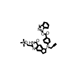 C#CCN(c1ccc(C(=O)On2nnc3ccccc32)cc1)[C@H]1CCc2cc3nc(CO[Si](C)(C)C)[nH]c(=O)c3cc21